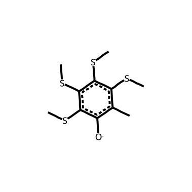 CSc1c(C)c([O])c(SC)c(SC)c1SC